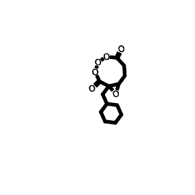 O=C1CCC2OC2(CC2CCCCC2)C(=O)OOO1